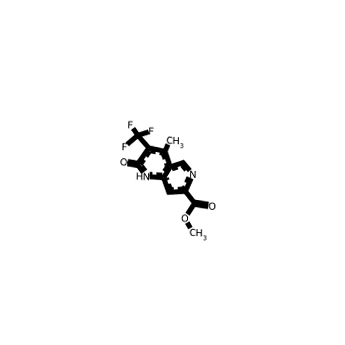 COC(=O)c1cc2[nH]c(=O)c(C(F)(F)F)c(C)c2cn1